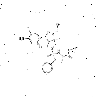 CC(C)OC(=O)[C@H](C)NP(=O)(OCC1(C)C(F)[C@@H](n2cc(F)c(N)nc2=O)O[C@@H]1CO)Oc1ccccc1